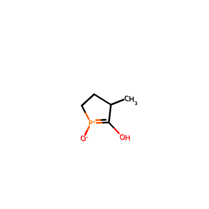 CC1CC[P+]([O-])=C1O